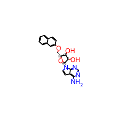 Nc1ncnc2c1ccn2[C@@H]1O[C@H](COc2ccc3ccccc3c2)[C@@H](O)[C@H]1O